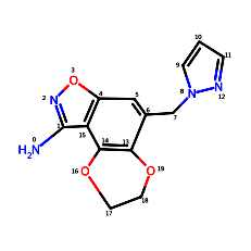 Nc1noc2cc(Cn3cccn3)c3c(c12)OCCO3